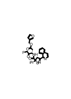 CC(C)C1(C(=O)N[C@@H](CC(=O)OCc2ccoc2)C(=O)CF)CC(c2nccc3ccccc23)=NO1